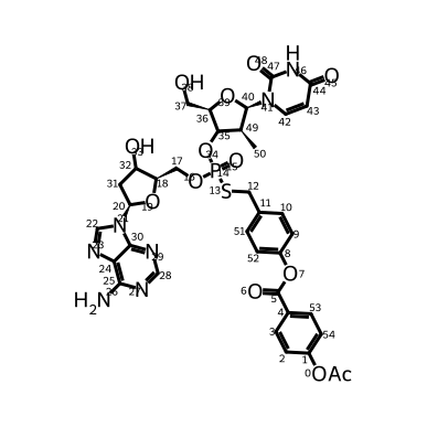 CC(=O)Oc1ccc(C(=O)Oc2ccc(CSP(=O)(OC[C@H]3O[C@@H](n4cnc5c(N)ncnc54)CC3O)OC3[C@@H](CO)O[C@@H](n4ccc(=O)[nH]c4=O)[C@H]3C)cc2)cc1